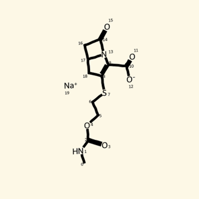 CNC(=O)OCCSC1=C(C(=O)[O-])N2C(=O)CC2C1.[Na+]